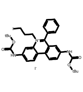 CC(C)(C)OC(=O)Nc1ccc2c(c1)c(-c1ccccc1)[n+](CCCI)c1cc(NC(=O)OC(C)(C)C)ccc21.[I-]